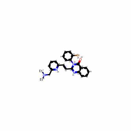 CCN(CC)Cc1cccc(/C=C/c2nc3ccccc3c(=O)n2-c2ccccc2Br)n1